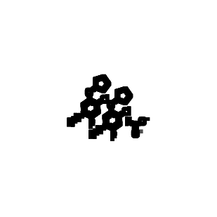 N#[N+]c1cc(OC2CCCC2)c(Cl)cc1F.N#[N+]c1cc(OC2CCCC2)c(Cl)cc1F.[O-]B([O-])F